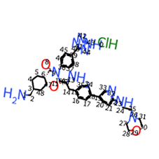 Cl.NC[C@H]1CC[C@H](C(=O)N(C(=O)[C@@H](N)Cc2ccc(-c3ccc(NCCN4CCOCC4)nc3)cc2)c2ccc(-c3nn[nH]n3)cc2)CC1